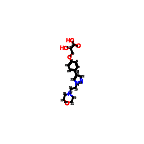 O=C(O)[C@H](O)COc1ccc(-c2cnn(CCN3CCOCC3)c2)cc1